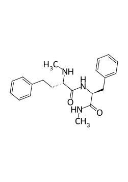 CNC(=O)[C@H](Cc1ccccc1)NC(=O)[C@H](CCc1ccccc1)NC